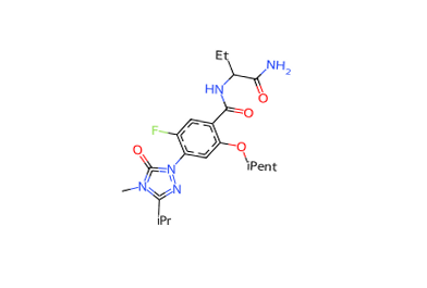 CCCC(C)Oc1cc(-n2nc(C(C)C)n(C)c2=O)c(F)cc1C(=O)NC(CC)C(N)=O